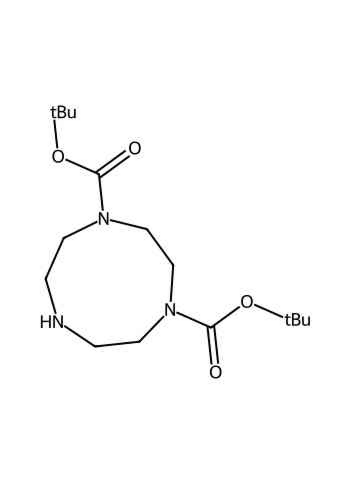 CC(C)(C)OC(=O)N1CCNCCN(C(=O)OC(C)(C)C)CC1